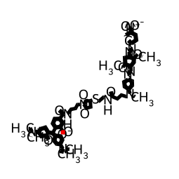 COc1cc(N=Nc2ccc([N+](=O)[O-])cc2)c(OC)cc1N=Nc1ccc(N(C)CCCC(=O)NCCSC2CC(=O)N(CCCNC(=O)c3ccc(-c4c5ccc(=[N+](C)C)cc-5oc5cc(N(C)C)ccc45)c(C(=O)[O-])c3)C2=O)cc1